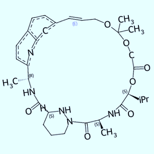 CC(C)[C@@H]1OC(=O)COC(C)(C)OC/C=C/c2ccc3ccc(nc3c2)[C@@H](C)NC(=O)[C@@H]2CCCN(N2)C(=O)[C@H](C)NC1=O